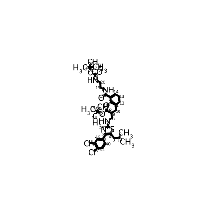 CC(C)Cc1sc(NCC(Cc2cccc(C(=O)NCCNC(=O)OC(C)(C)C)c2)C(=O)OC(C)(C)C)nc1-c1ccc(Cl)c(Cl)c1